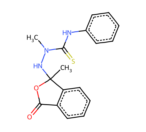 CN(NC1(C)OC(=O)c2ccccc21)C(=S)Nc1ccccc1